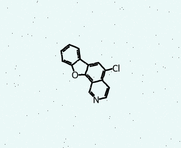 Clc1cc2c3ccccc3oc2c2cnccc12